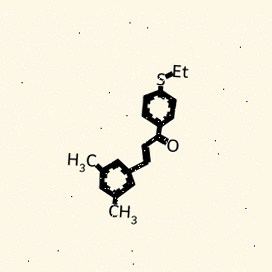 CCSc1ccc(C(=O)C=Cc2cc(C)cc(C)c2)cc1